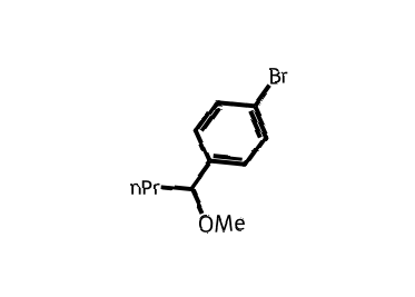 CCCC(OC)c1ccc(Br)cc1